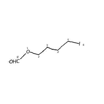 O=[C]OCCCCI